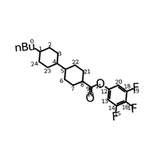 CCCCC1CCC(C2CCC(C(=O)Oc3cc(F)c(F)c(F)c3)CC2)CC1